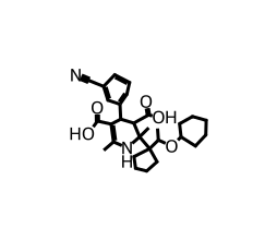 CC1=C(C(=O)O)C(c2cccc(C#N)c2)C(C(=O)O)C(C)(C2(C(C)OC3CCCCC3)CCCC2)N1